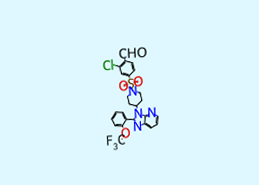 O=Cc1ccc(S(=O)(=O)N2CCC(n3c(-c4ccccc4OC(F)(F)F)nc4cccnc43)CC2)cc1Cl